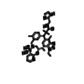 CCC1CN(Cc2cc(C(c3ccc4c(nnn4CC)c3C)C(C)(C)C(=O)NCc3ncc[nH]3)ccc2C)S(O)(O)c2cccnc2O1